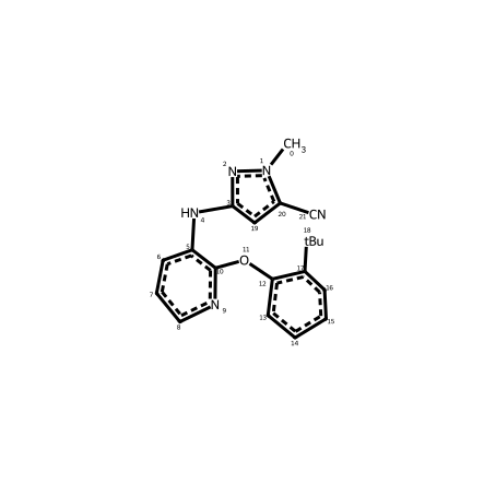 Cn1nc(Nc2cccnc2Oc2ccccc2C(C)(C)C)cc1C#N